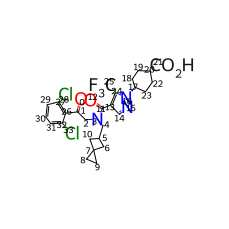 O=C(CN(CC1CC2(CC2)C1)C(=O)c1cnn([C@H]2CC[C@H](C(=O)O)CC2)c1C(F)(F)F)c1c(Cl)cccc1Cl